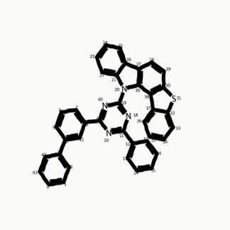 c1ccc(-c2cccc(-c3nc(-c4ccccc4)nc(-n4c5ccccc5c5ccc6sc7ccccc7c6c54)n3)c2)cc1